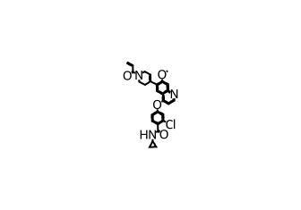 C=CC(=O)N1CC=C(c2cc3c(Oc4ccc(C(=O)NC5CC5)c(Cl)c4)ccnc3cc2OC)CC1